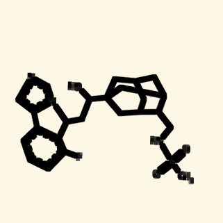 CS(=O)(=O)NCC1C2CC3CC1CC(C(O)CC1c4c(F)cccc4-c4cncn41)(C3)C2